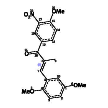 COc1ccc(OC)c(/C=C(\C)C(=O)c2ccc(OC)c([N+](=O)[O-])c2)c1